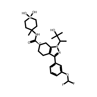 CC(n1nc(-c2cccc(OC(F)F)c2)c2c1C[C@H](C(=O)NC1(C)CCS(O)(O)CC1)CC2)C(C)(C)O